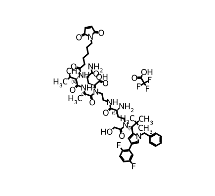 CC(C)[C@H](NC(=O)CCCCCN1C(=O)C=CC1=O)C(=O)N[C@@H](C)C(=O)N(CCNC(=O)[C@@H](N)CCN(C(=O)CO)[C@@H](c1cc(-c2cc(F)ccc2F)cn1Cc1ccccc1)C(C)(C)C)[C@@H](CCC(N)=O)C(=O)O.O=C(O)C(F)(F)F